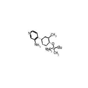 C[C@@H]1C[C@H](c2ccncc2N)C[C@@H](C)[C@@H]1O[Si](C)(C)C(C)(C)C